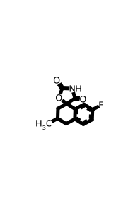 CC1Cc2ccc(F)cc2C2(C1)OC(=O)NC2=O